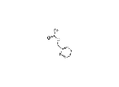 C[CH]C(=O)OCc1ccccn1